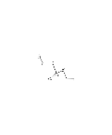 CCOC(=O)[CH]CCl